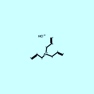 C=C[CH2][Al]([CH2]C=C)[CH2]C=C.Cl